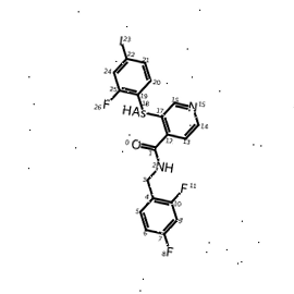 O=C(NCc1ccc(F)cc1F)c1ccncc1[AsH]c1ccc(I)cc1F